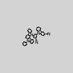 N#Cc1cc(-n2c3ccccc3c3cc(C#N)ccc32)cc(-n2c3ccccc3c3ccc4c(c5ccccc5n4-c4ccccc4)c32)c1